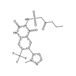 CCCC(=O)CS(=O)(=O)Nn1c(=O)[nH]c2cc(C(F)(F)F)c(-c3ccnn3C)cc2c1=O